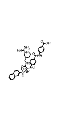 Cl.N=C(N)N1CCCC(CNC(=O)[C@@H](Cc2ccc(C(=O)Nc3ccc(C(=O)O)cc3)cc2)NS(=O)(=O)c2ccc3ccccc3c2)C1